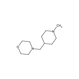 CN1CCC(CN2CCOCC2)CC1